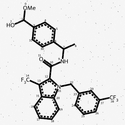 COC(O)c1ccc(C(C)NC(=O)c2c(C(F)(F)F)c3ccccc3n2Cc2cccc(C(F)(F)F)c2)cc1